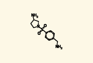 NCc1ccc(S(=O)(=O)N2CCC(N)C2)cc1